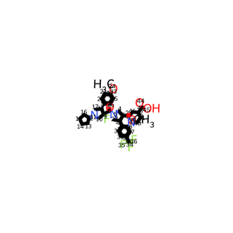 COCC1CN(C(=O)[C@]2(F)CN(C3CCCC3)C[C@H]2c2ccc(OC)cc2)CC1c1ccc(C(F)(F)F)cc1N1CCC(C(=O)O)CC1